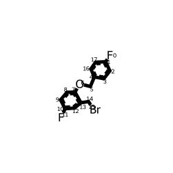 Fc1ccc(COc2ccc(F)cc2CBr)cc1